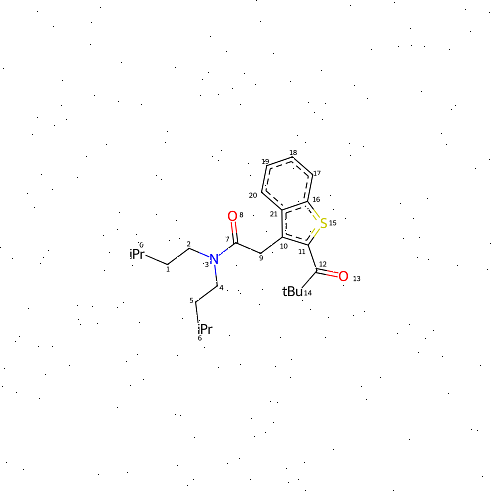 CC(C)CCN(CCC(C)C)C(=O)Cc1c(C(=O)C(C)(C)C)sc2ccccc12